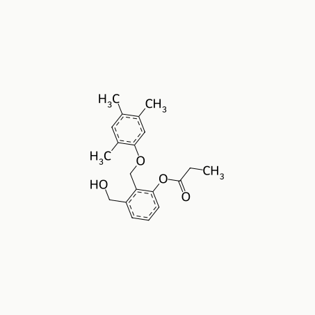 CCC(=O)Oc1cccc(CO)c1COc1cc(C)c(C)cc1C